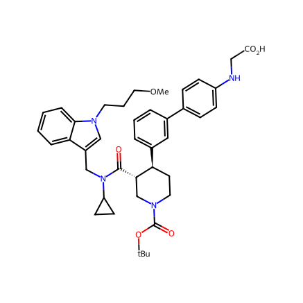 COCCCn1cc(CN(C(=O)[C@H]2CN(C(=O)OC(C)(C)C)CC[C@@H]2c2cccc(-c3ccc(NCC(=O)O)cc3)c2)C2CC2)c2ccccc21